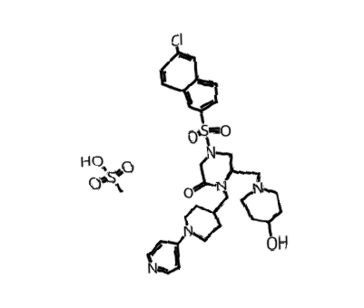 CS(=O)(=O)O.O=C1CN(S(=O)(=O)c2ccc3cc(Cl)ccc3c2)CC(CN2CCC(O)CC2)N1CC1CCN(c2ccncc2)CC1